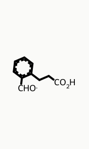 O=[C]c1ccccc1CCC(=O)O